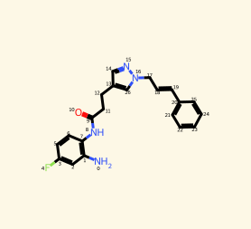 Nc1cc(F)ccc1NC(=O)CCc1cnn(C/C=C/c2ccccc2)c1